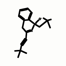 CC(C)(C)C#CC1=N[N+]([O-])(CC(C)(C)C)c2ccccc2C1